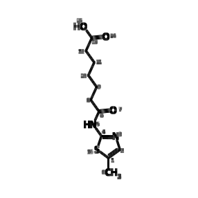 Cc1cnc(NC(=O)CCCCCC(=O)O)s1